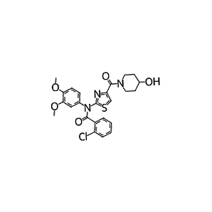 COc1ccc(N(C(=O)c2ccccc2Cl)c2nc(C(=O)N3CCC(O)CC3)cs2)cc1OC